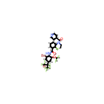 CCN(C(=O)c1ccncc1)c1cccc(C(=O)Nc2c(Br)cc(C(F)(C(F)(F)F)C(F)(F)Br)cc2OC(F)F)c1F